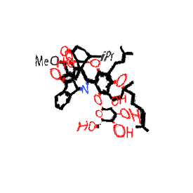 COC(=O)/C(C)=C\CC1(O)C(=O)CCC(C(C)C)C12Oc1c(CC=C(C)C)c3c(c(O[C@H]4O[C@@H](CO)[C@H](O)[C@@H](O)[C@@H]4O)c1C1=C2C(C)C2C(=O)c4ccccc4C2=N1)C=CC(C)(CCC=C(C)C)O3